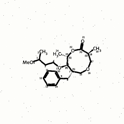 COC(C)CCO[C@@H]1[C@@H](Cc2ccccc2)COC[C@H](C)C(=O)O[C@H]1C